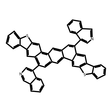 c1ccc2c(-c3cc4cc5c(cc(-c6cncc7ccccc67)c6cc7c(cc65)sc5ccccc57)cc4c4cc5sc6ccccc6c5cc34)cncc2c1